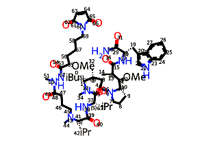 CC[C@H](C)[C@@H]([C@@H](CC(=O)N1CCC[C@H]1[C@H](OC)[C@@H](C)C(=O)N[C@@H](Cc1c[nH]c2ccccc12)C(N)=O)OC)N(C)C(=O)[C@@H](NC(=O)[C@H](C(C)C)N(C)CCCC(=O)N(C)NC(=O)CCCCCN1C(=O)C=CC1=O)C(C)C